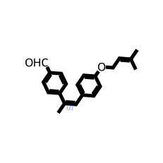 CC(C)=CCOc1ccc(/C=C(/C)c2ccc(C=O)cc2)cc1